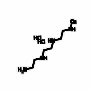 Cl.Cl.NCCNCCNCC[NH][Cu]